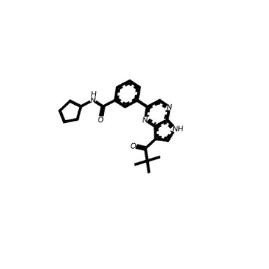 CC(C)(C)C(=O)c1c[nH]c2ncc(-c3cccc(C(=O)NC4CCCC4)c3)nc12